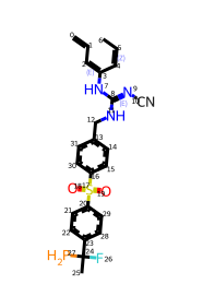 C=C/C=C(\C=C/C)N/C(=N/C#N)NCc1ccc(S(=O)(=O)c2ccc(C(C)(F)P)cc2)cc1